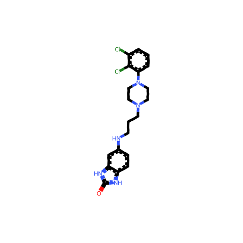 O=c1[nH]c2ccc(NCCCN3CCN(c4cccc(Cl)c4Cl)CC3)cc2[nH]1